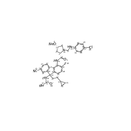 CO[C@H]1C[C@@H](C(=O)Nc2cc(C(CCC3CC3)(N[S+]([O-])C(C)(C)C)c3cccc(C#N)c3)ccc2F)N(CNc2ccc(Cl)cc2)C1